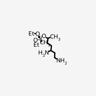 CCO[Si](C)(OCC)OC(C)CCC(N)CCN